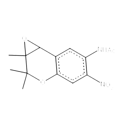 CC(=O)Nc1cc2c(cc1[N+](=O)[O-])OC(C)(C)C1(C)OC21